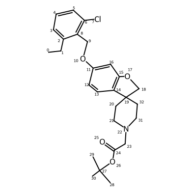 CCc1cccc(Cl)c1COc1ccc2c(c1)OCC21CCN(CC(=O)OC(C)(C)C)CC1